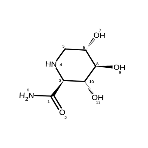 NC(=O)[C@H]1NC[C@H](O)[C@@H](O)[C@@H]1O